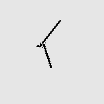 [CH2]CCc1nc(CCCCCCCCCCCCCCCCCC)nc(CCCCCCCCCCCCCCCCCC)n1